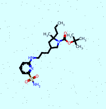 CCCC1(C)CC(CCCNc2cccc(S(N)(=O)=O)n2)CN1C(=O)OC(C)(C)C